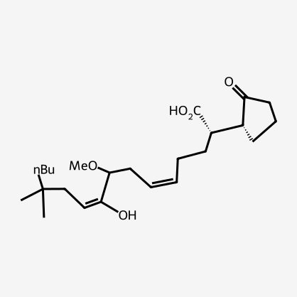 CCCCC(C)(C)C/C=C(/O)C(C/C=C\CC[C@H](C(=O)O)[C@H]1CCCC1=O)OC